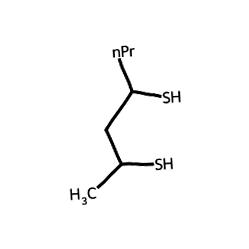 CCCC(S)CC(C)S